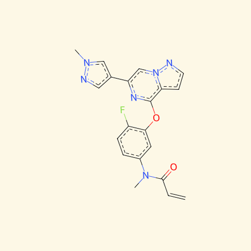 C=CC(=O)N(C)c1ccc(F)c(Oc2nc(-c3cnn(C)c3)cn3nccc23)c1